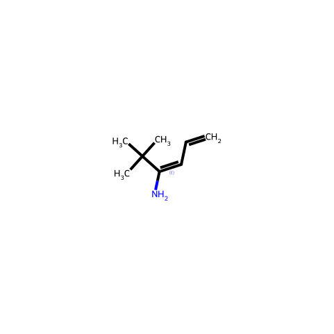 C=C/C=C(/N)C(C)(C)C